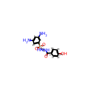 Nc1cc(N)cc(S(=O)(=O)NNC(=O)c2ccc(O)cc2)c1